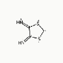 N=C1SCSC1=N